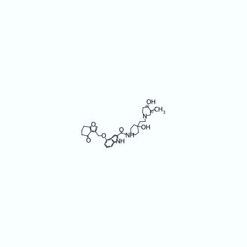 C[C@H]1CN(CCC2(O)CCC(NC(=O)c3cc4c(OCc5coc6c5C(=O)CCC6)cccc4[nH]3)CC2)CC[C@@H]1O